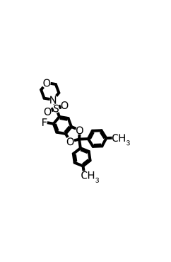 Cc1ccc(C2(c3ccc(C)cc3)Oc3cc(F)c(S(=O)(=O)N4CCOCC4)cc3O2)cc1